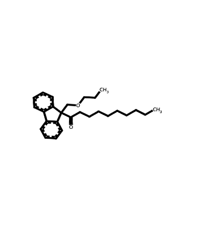 CCCCCCCCCC(=O)C1(COCCC)c2ccccc2-c2ccccc21